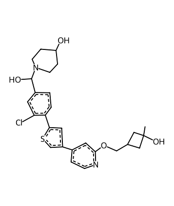 CC1(O)CC(COc2cc(-c3csc(-c4ccc(C(O)N5CCC(O)CC5)cc4Cl)c3)ccn2)C1